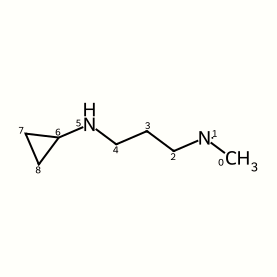 C[N]CCCNC1CC1